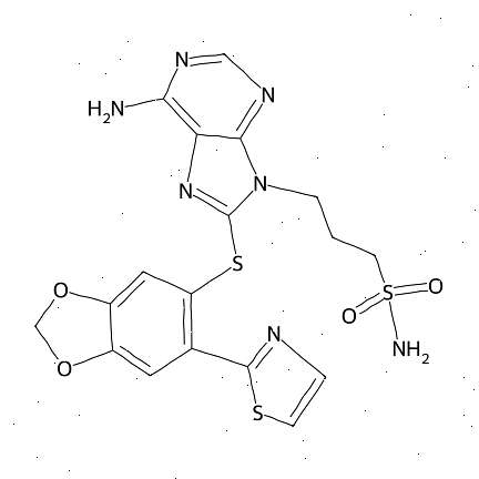 Nc1ncnc2c1nc(Sc1cc3c(cc1-c1nccs1)OCO3)n2CCCS(N)(=O)=O